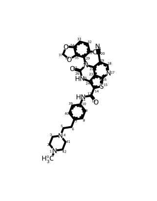 CN1CCN(CCc2ccc(NC(=O)c3sc4ncc(C#N)c5c4c3NC(=O)N5c3c(Cl)ccc4c3OCO4)cc2)CC1